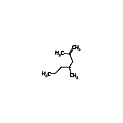 C=C(C)C[C](C)CCC